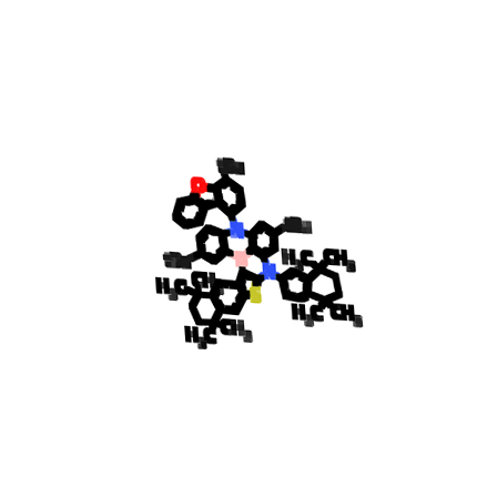 CC(C)(C)c1ccc2c(c1)B1c3c(cc(C(C)(C)C)cc3N2c2ccc(C(C)(C)C)c3oc4ccccc4c23)N(c2ccc3c(c2)C(C)(C)CCC3(C)C)c2sc3cc4c(cc3c21)C(C)(C)CCC4(C)C